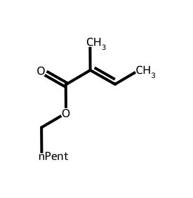 CC=C(C)C(=O)OCCCCCC